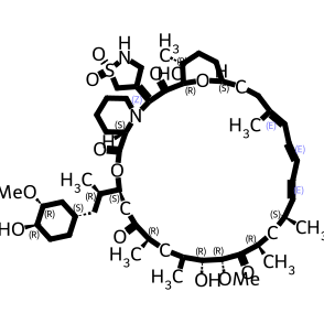 CO[C@@H]1C[C@H](C[C@@H](C)[C@@H]2CC(=O)[C@H](C)CC(C)[C@@H](O)[C@@H](OC)C(=O)[C@H](C)C[C@H](C)/C=C/C=C/C=C(\C)CC[C@@H]3CC[C@@H](C)[C@@](O)(O3)C(=O)/C(=C3\CNS(=O)(=O)C3)N3CCCC[C@H]3C(=O)O2)CC[C@H]1O